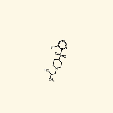 CC(O)CN1CCC(S(=O)(=O)c2ncccc2Br)CC1